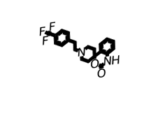 O=C1Nc2ccccc2C2(CCN(CCc3ccc(C(F)(F)F)cc3)CC2)O1